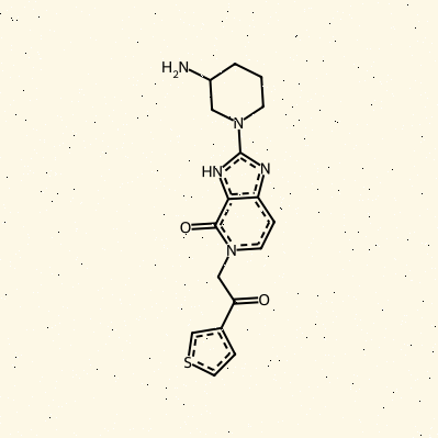 NC1CCCN(c2nc3ccn(CC(=O)c4ccsc4)c(=O)c3[nH]2)C1